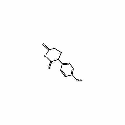 COc1ccc(C2CCC(=O)OC2=O)cc1